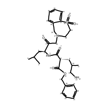 CC(C)C[C@H](NC(=O)[C@H](CC(C)CN)C(=O)OCc1ccccc1)C(=O)CN1CCS(=O)(=O)c2ccccc2C1